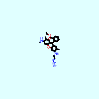 CCOC(=O)c1ccccc1C1=C2C=C(C)C(NC)C=C2Oc2cc(NCCN=[N+]=[N-])c(C)cc21